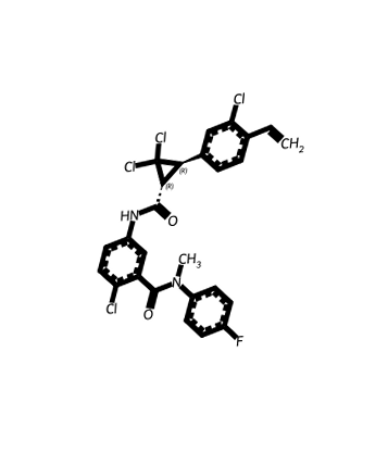 C=Cc1ccc([C@H]2[C@H](C(=O)Nc3ccc(Cl)c(C(=O)N(C)c4ccc(F)cc4)c3)C2(Cl)Cl)cc1Cl